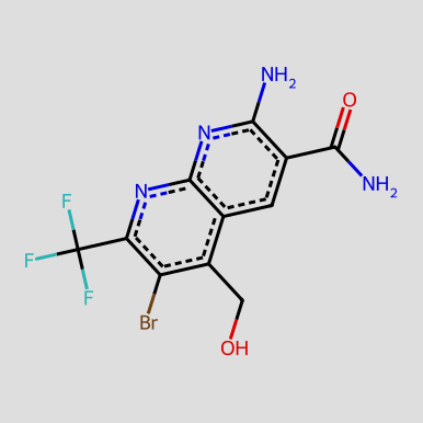 NC(=O)c1cc2c(CO)c(Br)c(C(F)(F)F)nc2nc1N